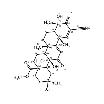 COC(=O)[C@]12CCC(C)(C)CC1[C@@]1(O)C(=O)C=C3[C@@]4(C)C=C(C#N)C(=O)[C@@](C)(O)C4CC[C@@]3(C)[C@]1(C)CC2